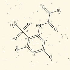 CCC(=O)C(=O)Nc1cc(Cl)cc(Cl)c1S(N)(=O)=O